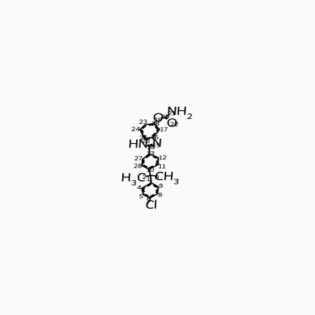 CC(C)(c1ccc(Cl)cc1)c1ccc(-c2nc3cc(OC(N)=O)ccc3[nH]2)cc1